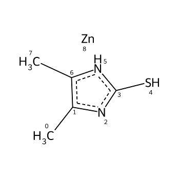 Cc1nc(S)[nH]c1C.[Zn]